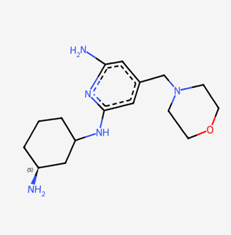 Nc1cc(CN2CCOCC2)cc(NC2CCC[C@H](N)C2)n1